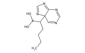 CCCCC(B(O)O)C12C=NC=NC1=NC=N2